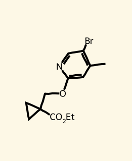 CCOC(=O)C1(COc2cc(C)c(Br)cn2)CC1